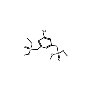 COP(=O)(Cc1cc(O)cc(CP(=O)(OC)OC)c1)OC